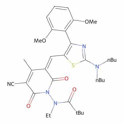 CCCCN(CCCC)c1nc(-c2c(OC)cccc2OC)c(/C=C2\C(=O)N(N(CC)C(=O)C(C)(C)C)C(=O)C(C#N)=C2C)s1